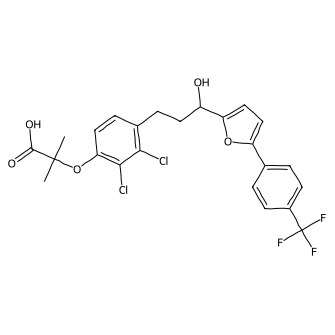 CC(C)(Oc1ccc(CCC(O)c2ccc(-c3ccc(C(F)(F)F)cc3)o2)c(Cl)c1Cl)C(=O)O